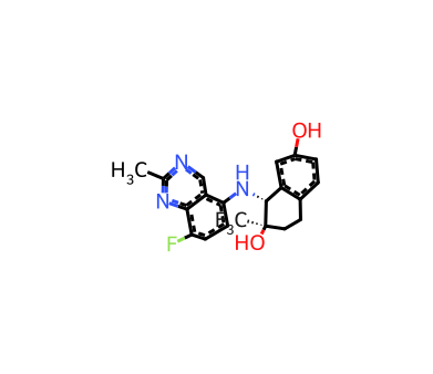 Cc1ncc2c(N[C@@H]3c4cc(O)ccc4CC[C@]3(O)C(F)(F)F)ccc(F)c2n1